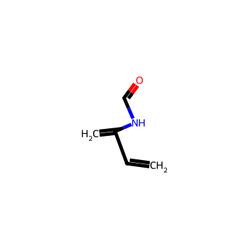 C=CC(=C)NC=O